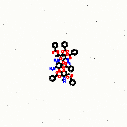 CNC1[C@@H](OC(=O)c2ccccc2)C(OC2C(OC(=O)c3ccccc3)[C@H](O[C@H]3OC([C@@H](C)OC(=O)c4ccccc4)[C@@H](OC(=O)c4ccccc4)C(OC(=O)c4ccccc4)C3N)C(N)C[C@H]2N)OCC1(C)OC(=O)c1ccccc1